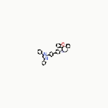 C1=C(/c2ccc(-c3ccc(-c4nc(-c5ccccc5)cc(-c5ccccc5)n4)cc3)cc2)c2c(oc3ccccc23)-c2ccccc2CC/1